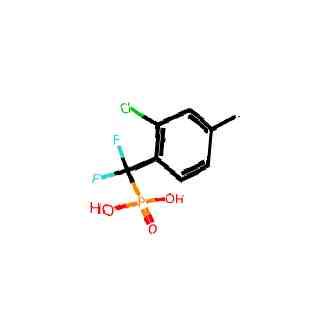 [CH2]c1ccc(C(F)(F)P(=O)(O)O)c(Cl)c1